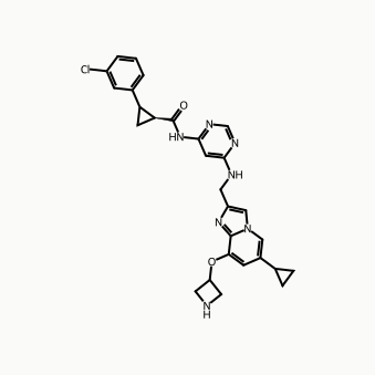 O=C(Nc1cc(NCc2cn3cc(C4CC4)cc(OC4CNC4)c3n2)ncn1)[C@H]1CC1c1cccc(Cl)c1